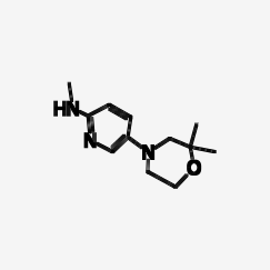 CNc1ccc(N2CCOC(C)(C)C2)cn1